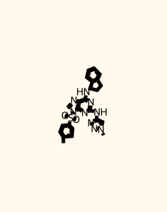 Cc1ccc(S(=O)(=O)n2cnc3c(N[C@H]4CCc5ccccc54)nc(Nc4cn(C)nn4)nc32)cc1